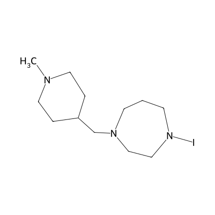 CN1CCC(CN2CCCN(I)CC2)CC1